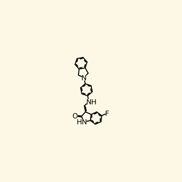 O=C1Nc2ccc(F)cc2/C1=C\Nc1ccc(N2Cc3ccccc3C2)cc1